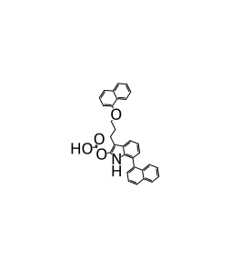 O=C(O)Oc1[nH]c2c(-c3cccc4ccccc34)cccc2c1CCCOc1cccc2ccccc12